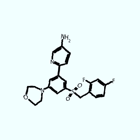 Nc1ccc(-c2cc(N3CCOCC3)cc(S(=O)(=O)Cc3ccc(F)cc3F)c2)nc1